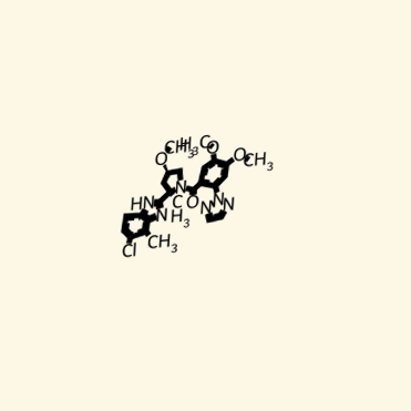 COc1cc(C(=O)N2C[C@H](OC)CC2(C)c2nc3c(C)c(Cl)ccc3[nH]2)c(-n2nccn2)cc1OC